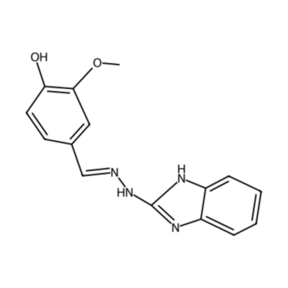 COc1cc(/C=N/Nc2nc3ccccc3[nH]2)ccc1O